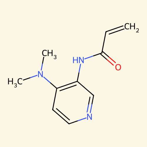 C=CC(=O)Nc1cnccc1N(C)C